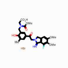 Br.COC(=O)N(CC(=O)O)Cc1cc(C(=O)CN2Cc3cc(OC)c(OC)c(F)c3C2=N)cc(C(C)(C)C)c1O